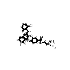 COc1cc(C(=O)NCCN(C)C)ccc1Nc1cc(Cc2c(Cl)cccc2Cl)nc2cc[nH]c(=O)c12